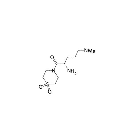 CNCCC[C@H](N)C(=O)N1CCS(=O)(=O)CC1